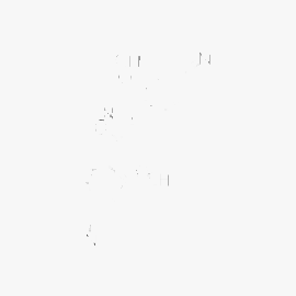 COc1cc(C#N)ccc1-c1cc(-c2ccc(C#N)cc2OC)on1